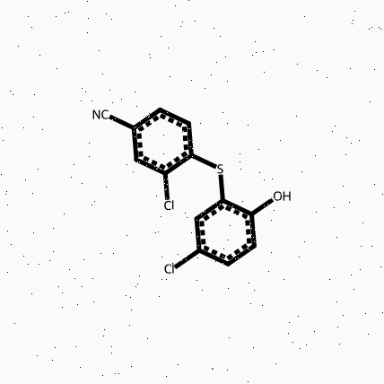 N#Cc1ccc(Sc2cc(Cl)ccc2O)c(Cl)c1